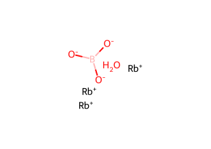 O.[O-]B([O-])[O-].[Rb+].[Rb+].[Rb+]